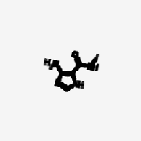 Nc1nc[nH]c1C(=O)NI